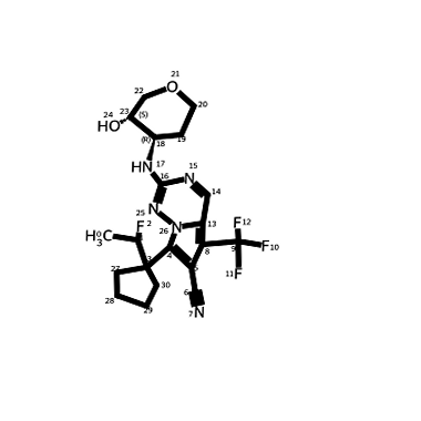 CC(F)C1(c2c(C#N)c(C(F)(F)F)c3cnc(N[C@@H]4CCOC[C@H]4O)nn23)CCCC1